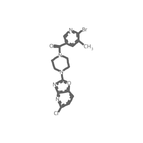 Cc1cc(C(=O)N2CCN(c3nc4nc(Cl)ccc4o3)CC2)cnc1Br